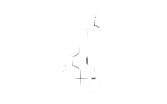 NC(=O)CSCc1ccc(C(F)(F)P(=O)(O)O)c(Br)c1